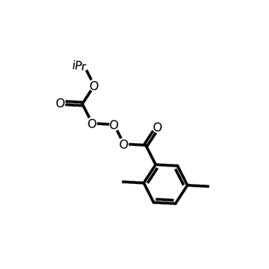 Cc1ccc(C)c(C(=O)OOOC(=O)OC(C)C)c1